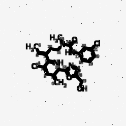 C=C(/C=C(/Cl)C(=N)/C(=C/C)CCN(C)C(=O)Nc1cccc(Cl)c1)Cc1nnc(CO)o1